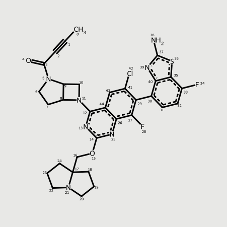 CC#CC(=O)N1CCC2C1CN2c1nc(OCC23CCCN2CCC3)nc2c(F)c(-c3ccc(F)c4sc(N)nc34)c(Cl)cc12